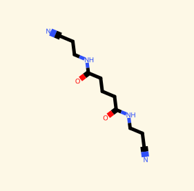 N#CCCNC(=O)CCCC(=O)NCCC#N